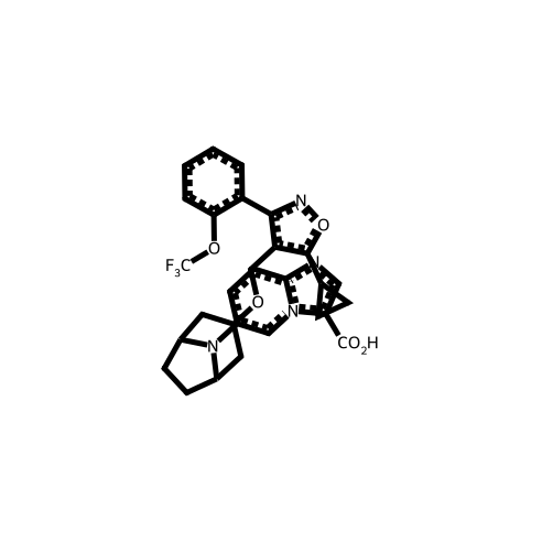 O=C(O)c1cnc2ccc(N3C4CCC3CC(OCc3c(-c5ccccc5OC(F)(F)F)noc3C3CC3)C4)cn12